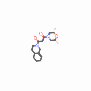 C[C@@H]1CN(C(=O)CC(=O)N2CCC3CCCC=C3C2)C[C@H](C)O1